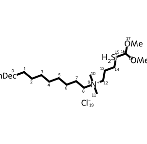 CCCCCCCCCCCCCCCCCC[N+](C)(C)CCC[SiH2]C(OC)OC.[Cl-]